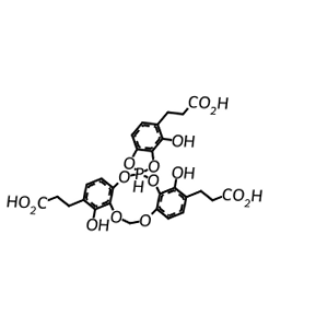 O=C(O)CCc1ccc2c(c1O)OCOc1ccc(CCC(=O)O)c(O)c1O[PH]1(O2)Oc2ccc(CCC(=O)O)c(O)c2O1